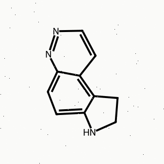 c1cc2c3c(ccc2nn1)NCC3